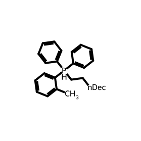 CCCCCCCCCCCC[PH](c1ccccc1)(c1ccccc1)c1ccccc1C